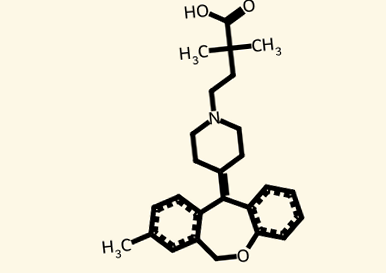 Cc1ccc2c(c1)COc1ccccc1C2=C1CCN(CCC(C)(C)C(=O)O)CC1